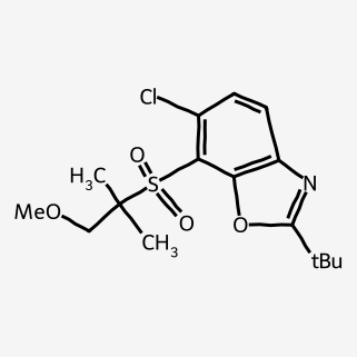 COCC(C)(C)S(=O)(=O)c1c(Cl)ccc2nc(C(C)(C)C)oc12